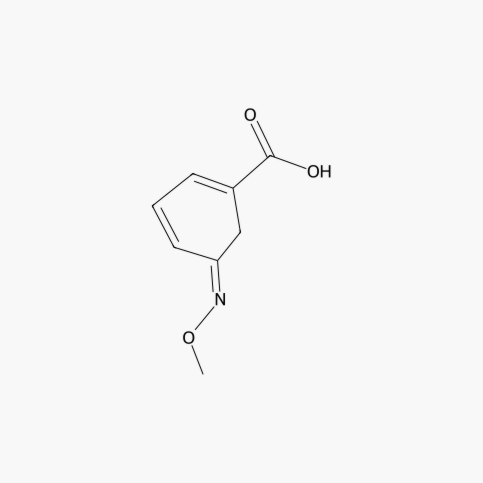 CON=C1C=CC=C(C(=O)O)C1